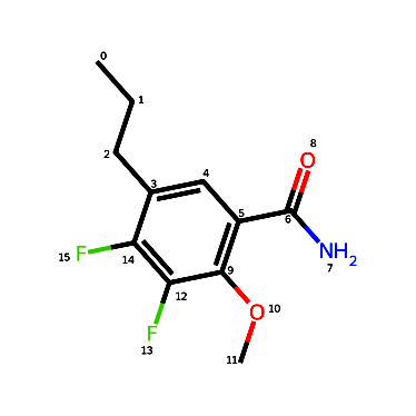 CCCc1cc(C(N)=O)c(OC)c(F)c1F